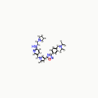 Cc1cc(-c2nc(-c3ccc(CN(C(C)C)C(C)C)cc3)no2)cn1Cc1ccc(NCCN2CCCC2)nc1